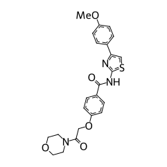 COc1ccc(-c2csc(NC(=O)c3ccc(OCC(=O)N4CCOCC4)cc3)n2)cc1